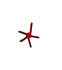 CCCCCCCCCCCCCCCCCCOP(Oc1cccc(CCCCCCCCCCCCCCCCCC)c1CCCCCCCCCCCCCCCCCC)Oc1cccc(CCCCCCCCCCCCCCCCCC)c1CCCCCCCCCCCCCCCCCC